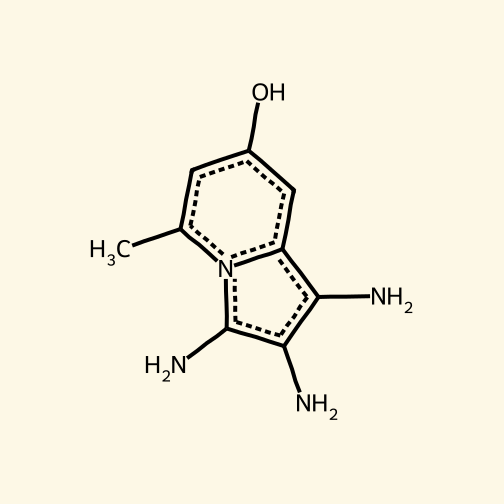 Cc1cc(O)cc2c(N)c(N)c(N)n12